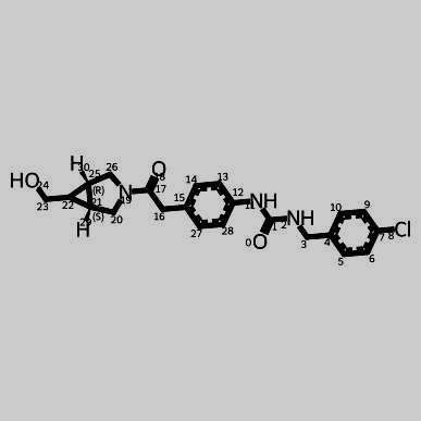 O=C(NCc1ccc(Cl)cc1)Nc1ccc(CC(=O)N2C[C@@H]3C(CO)[C@@H]3C2)cc1